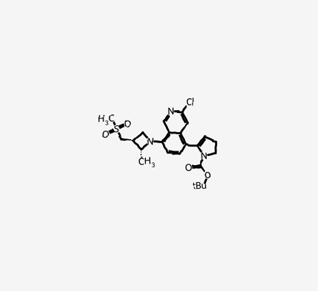 C[C@@H]1[C@@H](CS(C)(=O)=O)CN1c1ccc(C2=CCCN2C(=O)OC(C)(C)C)c2cc(Cl)ncc12